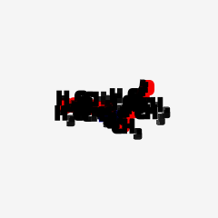 Cc1ccc(N2CC(COc3c(C)c(C)c(OCC4CO4)c(C)c3C)OC2=O)cc1N1CC(COc2c(C)c(C)c(OCC3CO3)c(C)c2C)OC1=O